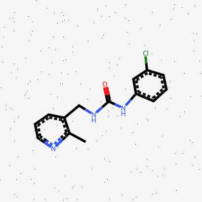 Cc1ncccc1CNC(=O)Nc1cccc(Cl)c1